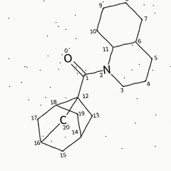 O=C(N1CCCC2CCCCC21)C12CC3CC(CC1C3)C2